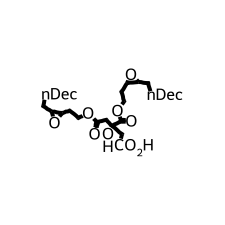 CCCCCCCCCCCC1OC1CCOC(=O)CC(O)(CC(=O)O)C(=O)OCCC1OC1CCCCCCCCCCC